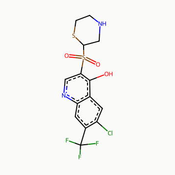 O=S(=O)(c1cnc2cc(C(F)(F)F)c(Cl)cc2c1O)C1CNCCS1